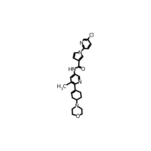 Cc1cc(NC(=O)c2ccn(-c3ccc(Cl)cn3)c2)cnc1C1=CCC(N2CCOCC2)CC1